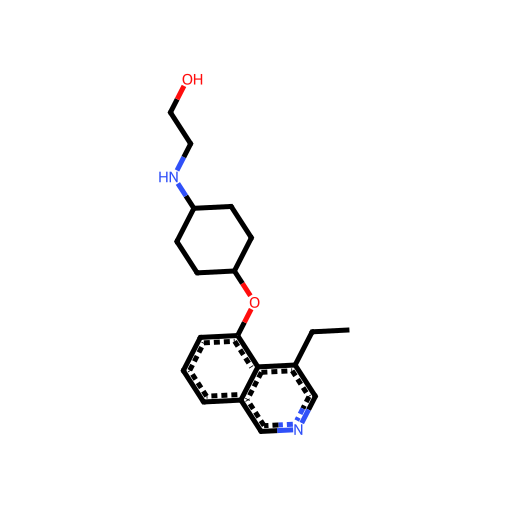 CCc1cncc2cccc(OC3CCC(NCCO)CC3)c12